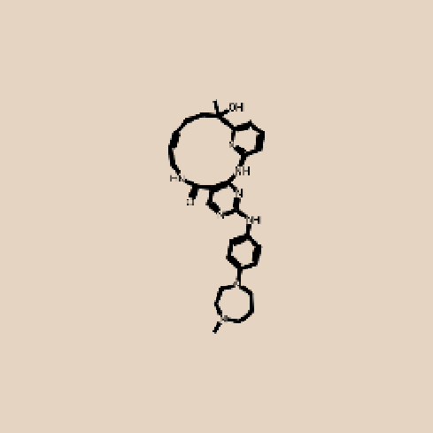 CN1CCCN(c2ccc(Nc3ncc4c(n3)Nc3cccc(n3)C(C)(O)CC/C=C\CNC4=O)cc2)CC1